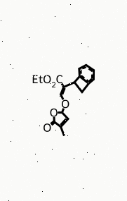 CCOC(=O)/C(=C/OC1C=C(C)C(=O)O1)C1Cc2ccccc21